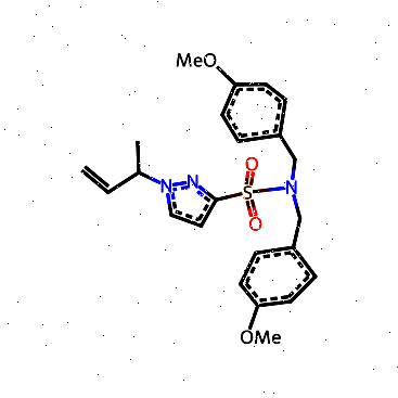 C=CC(C)n1ccc(S(=O)(=O)N(Cc2ccc(OC)cc2)Cc2ccc(OC)cc2)n1